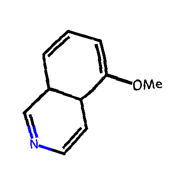 COC1=CC=CC2C=NC=CC12